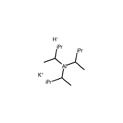 CC(C)[CH](C)[Al]([CH](C)C(C)C)[CH](C)C(C)C.[H-].[K+]